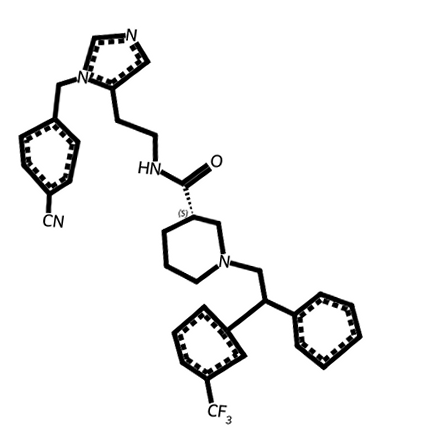 N#Cc1ccc(Cn2cncc2CCNC(=O)[C@H]2CCCN(CC(c3ccccc3)c3cccc(C(F)(F)F)c3)C2)cc1